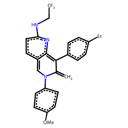 C=C1C(c2ccc(CC)cc2)=c2nc(NCC(F)(F)F)ccc2=CN1c1ccc(OC)cc1